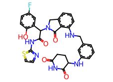 O=C1CCC(Nc2cccc(CNc3cccc4c3C(=O)N(C(C(=O)Nc3nccs3)c3cc(F)ccc3O)C4)c2)C(=O)N1